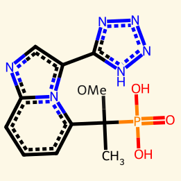 COC(C)(c1cccc2ncc(-c3nnn[nH]3)n12)P(=O)(O)O